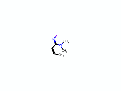 C/C=C\C(=N\I)N(C)C